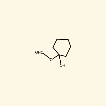 O=COC1(O)CCCCC1